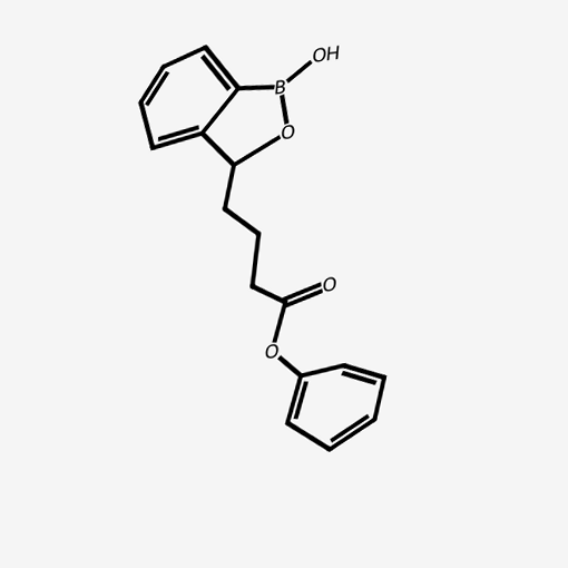 O=C(CCCC1OB(O)c2ccccc21)Oc1ccccc1